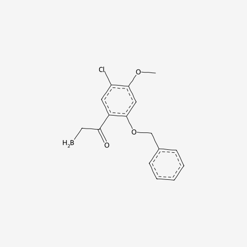 BCC(=O)c1cc(Cl)c(OC)cc1OCc1ccccc1